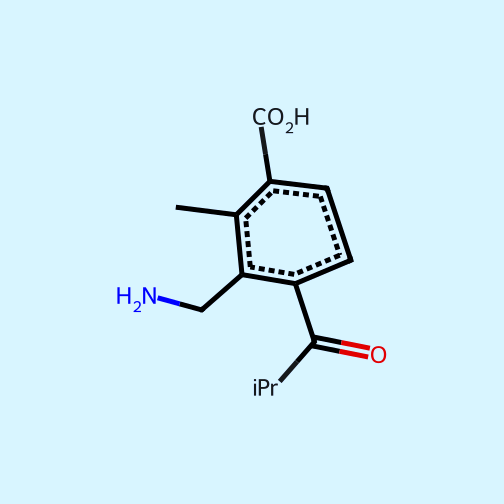 Cc1c(C(=O)O)ccc(C(=O)C(C)C)c1CN